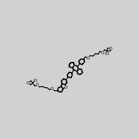 CCC1(COCCCCCOCc2ccc(-c3c4ccccc4c(-c4ccc(-c5ccc6c(c5)oc5ccc(COCCCCCOCC7(CC)COC7)cc56)cc4)c4ccccc34)cc2)COC1